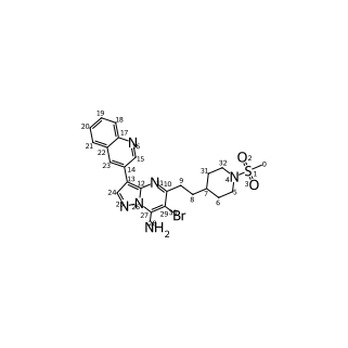 CS(=O)(=O)N1CCC(CCc2nc3c(-c4cnc5ccccc5c4)cnn3c(N)c2Br)CC1